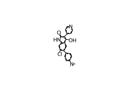 CN(C)c1ccc(-c2cc3c(O)c(-c4ccncc4)c(=O)[nH]c3cc2Cl)cc1